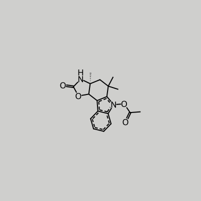 CC(=O)On1c2c(c3ccccc31)C1OC(=O)N[C@@]1(C)CC2(C)C